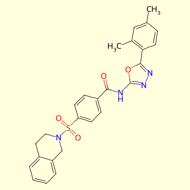 Cc1ccc(-c2nnc(NC(=O)c3ccc(S(=O)(=O)N4CCc5ccccc5C4)cc3)o2)c(C)c1